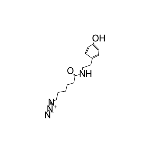 [N-]=[N+]=NCCCCCC(=O)NCCc1ccc(O)cc1